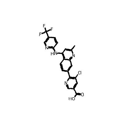 Cc1cc(Nc2ccc(C(F)(F)F)cn2)c2ccc(-c3ncc(C(=O)O)cc3Cl)cc2n1